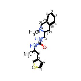 CC(Cc1ccsc1)NC(=O)NCC1Cc2ccccc2CN1C